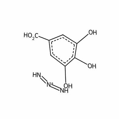 N=[N+]=N.O=C(O)c1cc(O)c(O)c(O)c1